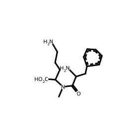 CN(C(=O)C(N)Cc1ccccc1)C(CCCN)C(=O)O